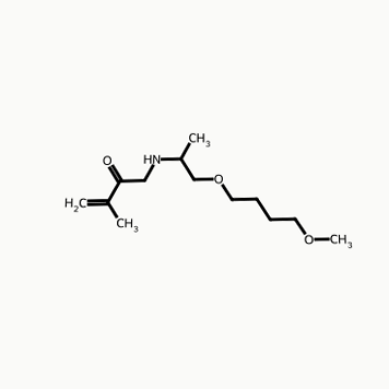 C=C(C)C(=O)CNC(C)COCCCCOC